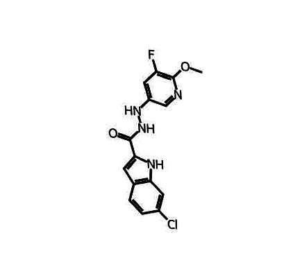 COc1ncc(NNC(=O)c2cc3ccc(Cl)cc3[nH]2)cc1F